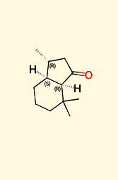 C[C@@H]1CC(=O)[C@@H]2[C@H]1CCCC2(C)C